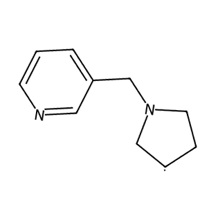 [CH]1CCN(Cc2cccnc2)C1